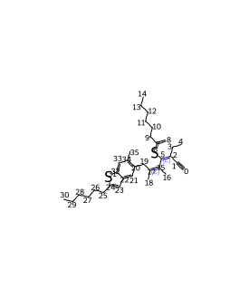 C#C/C(CC)=C(SC(=C)CCCCCC)\C(C)=C(\C)Cc1cc2cc(CCCCCC)sc2cc1C